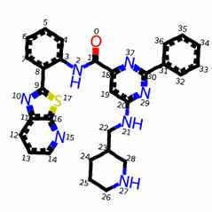 O=C(Nc1ccccc1-c1nc2cccnc2s1)c1cc(NCC2CCCNC2)nc(-c2ccccc2)n1